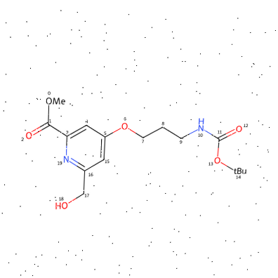 COC(=O)c1cc(OCCCNC(=O)OC(C)(C)C)cc(CO)n1